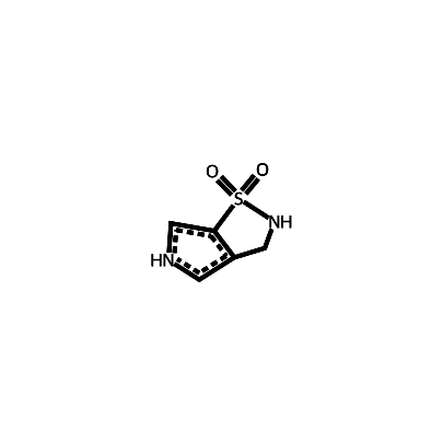 O=S1(=O)NCc2c[nH]cc21